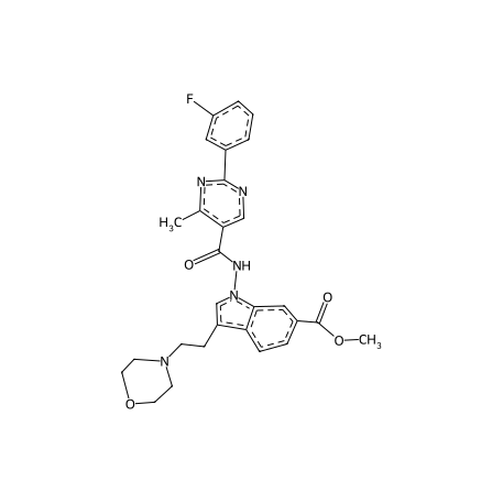 COC(=O)c1ccc2c(CCN3CCOCC3)cn(NC(=O)c3cnc(-c4cccc(F)c4)nc3C)c2c1